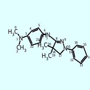 CN(C)c1ccc(NC2=NN(c3ccccc3)CC2(C)C)cc1